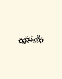 O=C(Cn1sc2ccccc2c1=O)NCc1cccc(Oc2ccccc2)c1